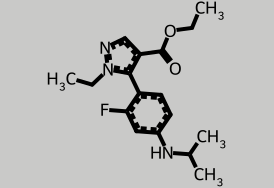 CCOC(=O)c1cnn(CC)c1-c1ccc(NC(C)C)cc1F